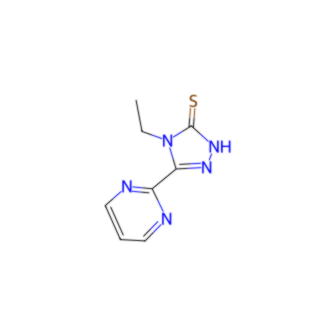 CCn1c(-c2ncccn2)n[nH]c1=S